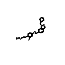 O=C(O)CCc1ccc(OCc2ccc3cnn(CC4CCCC4)c3c2)cc1F